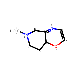 O=C(O)N1CCC2OC=CN=C2C1